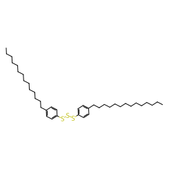 CCCCCCCCCCCCCCc1ccc(SSSc2ccc(CCCCCCCCCCCCCC)cc2)cc1